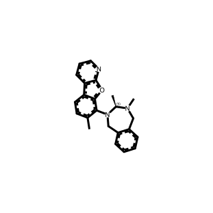 Cc1ccc2c(oc3ncccc32)c1N1Cc2ccccc2CN(C)[C@@H]1C